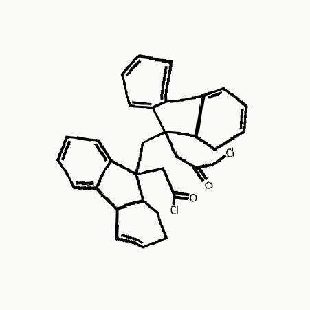 O=C(Cl)CC1(CC2(CC(=O)Cl)c3ccccc3C3C=CCCC32)c2ccccc2C2=CC=CCC21